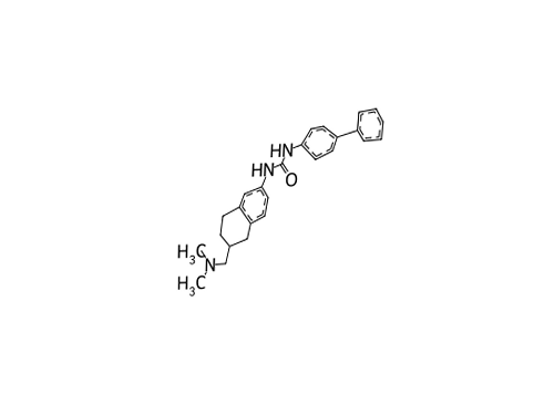 CN(C)CC1CCc2cc(NC(=O)Nc3ccc(-c4ccccc4)cc3)ccc2C1